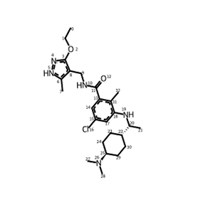 CCOc1n[nH]c(C)c1CNC(=O)c1cc(Cl)cc(NC(C)[C@H]2CC[C@H](N(C)C)CC2)c1C